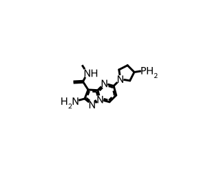 C=C(NC)c1c(N)nn2ccc(N3CCC(P)C3)nc12